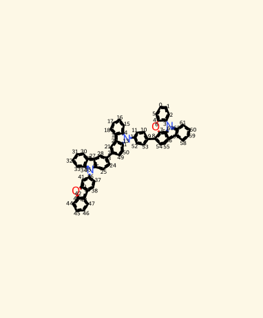 c1ccc2c(c1)Oc1c(-c3ccc(-n4c5ccccc5c5cc(-c6ccc7c(c6)c6ccccc6n7-c6ccc7c(c6)oc6ccccc67)ccc54)cc3)ccc3c4ccccc4n-2c13